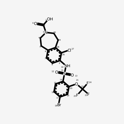 O=C(O)N1CCc2ccc(NS(=O)(=O)c3ccc(Br)cc3OC(F)(F)F)c(Cl)c2CC1